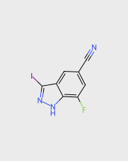 N#Cc1cc(F)c2[nH]nc(I)c2c1